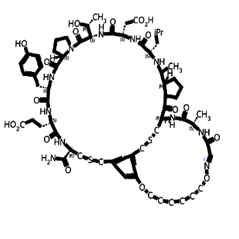 CC(C)C[C@@H]1NC(C)[C@@H]2CCCC2C(=O)[C@@H]2CSCc3cc(cc(c3)OCCCCCCO/N=C/C(=O)N[C@@H](C)C(=O)N2)CSC[C@@H](C(N)=O)NC(=O)[C@H](CCC(=O)O)NC(=O)[C@H](Cc2ccc(O)cc2)NC(=O)[C@@H]2CCCN2C(=O)[C@H]([C@@H](C)O)NC(=O)[C@H](CC(=O)O)NC1=O